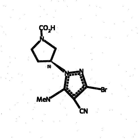 CNc1c(C#N)c(Br)nn1[C@H]1CCN(C(=O)O)C1